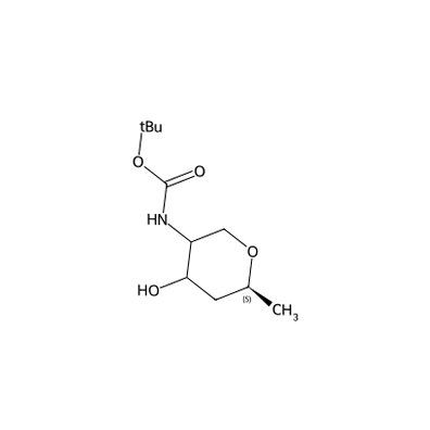 C[C@H]1CC(O)C(NC(=O)OC(C)(C)C)CO1